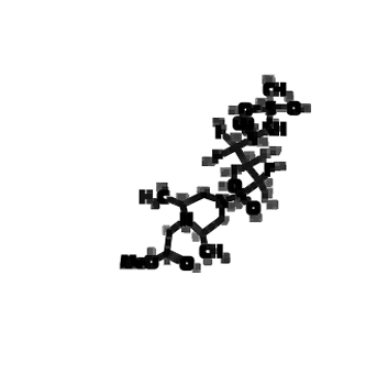 COC(=O)CN1C(C)CN(S(=O)(=O)C(F)(F)C(F)(F)C(F)(F)S(=O)(=O)NS(C)(=O)=O)CC1C